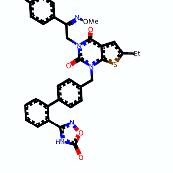 CCc1cc2c(=O)n(C/C(=N\OC)c3ccc(F)cc3)c(=O)n(Cc3ccc(-c4ccccc4-c4noc(=O)[nH]4)cc3)c2s1